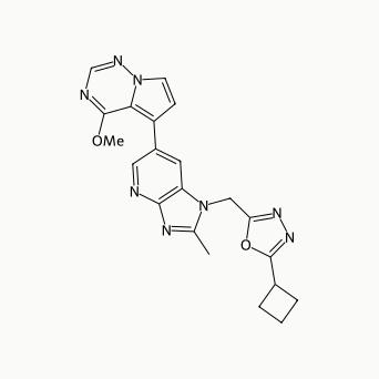 COc1ncnn2ccc(-c3cnc4nc(C)n(Cc5nnc(C6CCC6)o5)c4c3)c12